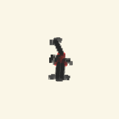 CCCC(CC)CCCCCCCCCC(=O)OC(C)OP(=O)(OC(C)OC(=O)CCCCCCCCCC(CC)CCC)OC(C)OC(=O)CCCCCCCCCC(CC)CCC